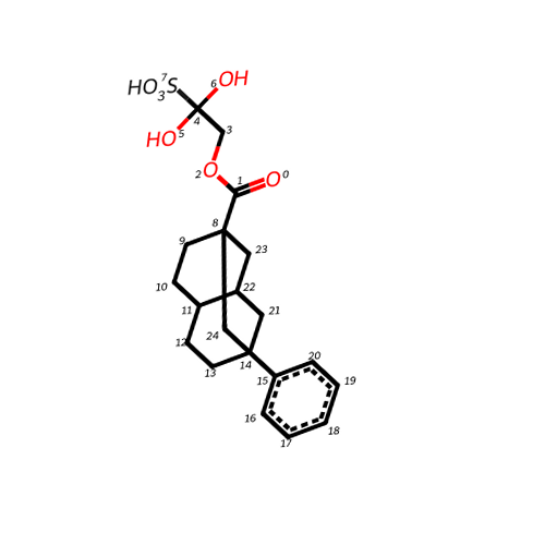 O=C(OCC(O)(O)S(=O)(=O)O)C12CCC3CCC(c4ccccc4)(CC3C1)C2